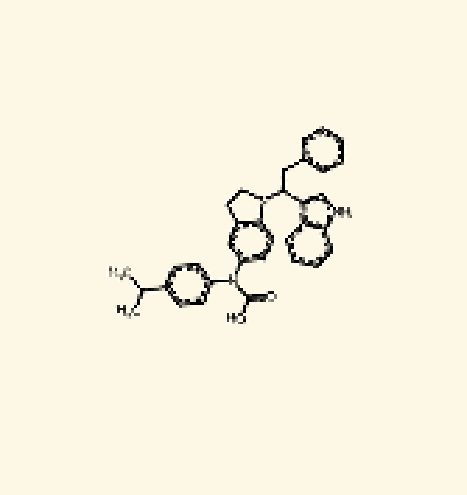 CC(C)c1ccc(N(C(=O)O)c2ccc3c(c2)CCN3C(Cc2ccccc2)c2c[nH]c3ccccc23)cc1